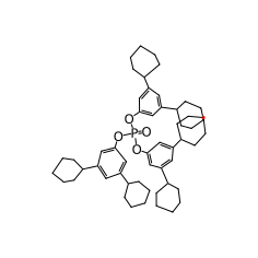 O=P(Oc1cc(C2CCCCC2)cc(C2CCCCC2)c1)(Oc1cc(C2CCCCC2)cc(C2CCCCC2)c1)Oc1cc(C2CCCCC2)cc(C2CCCCC2)c1